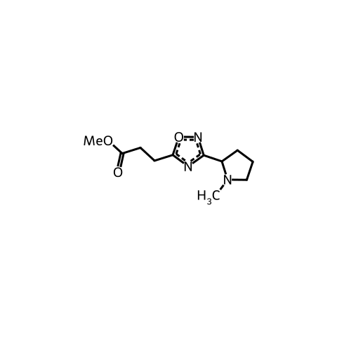 COC(=O)CCc1nc(C2CCCN2C)no1